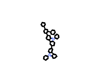 c1ccc(-c2ccc(-c3ccc4c5cc(-c6ccc7c(c6)c6ccccc6n7-c6ccccc6)ccc5n(-c5ccccc5)c4c3)c(-c3ccccc3)c2)cc1